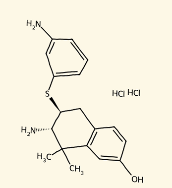 CC1(C)c2cc(O)ccc2C[C@H](Sc2cccc(N)c2)[C@H]1N.Cl.Cl